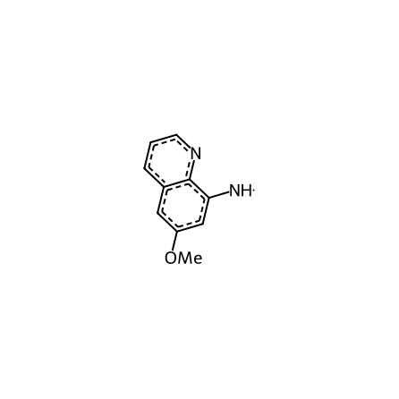 COc1cc([NH])c2ncccc2c1